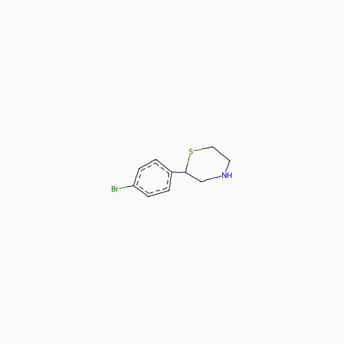 Brc1ccc(C2CNCCS2)cc1